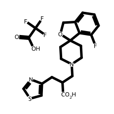 O=C(O)C(Cc1cscn1)CN1CCC2(CC1)OCc1cccc(F)c12.O=C(O)C(F)(F)F